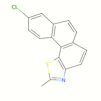 Cc1nc2ccc3ccc4cc(Cl)ccc4c3c2s1